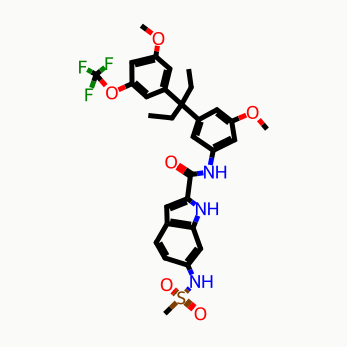 CCC(CC)(c1cc(NC(=O)c2cc3ccc(NS(C)(=O)=O)cc3[nH]2)cc(OC)c1)c1cc(OC)cc(OC(F)(F)F)c1